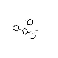 Cc1ccccc1.O=C(O)CN1CCCOP1(=O)c1ccc(-c2ccccc2)cc1